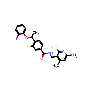 Cc1cc(C)c(CNC(=O)c2ccc(C(C)Oc3ccccc3I)c(F)c2)c(O)n1